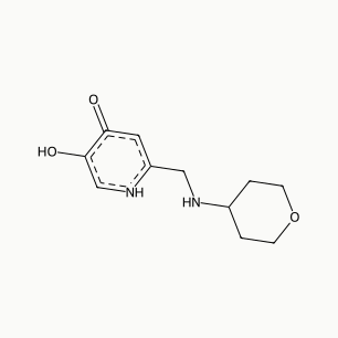 O=c1cc(CNC2CCOCC2)[nH]cc1O